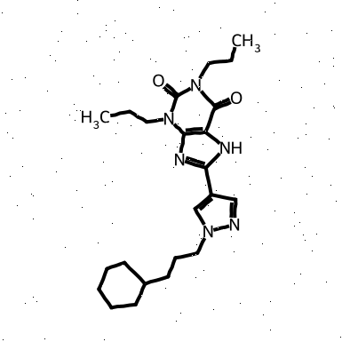 CCCn1c(=O)c2[nH]c(-c3cnn(CCCC4CCCCC4)c3)nc2n(CCC)c1=O